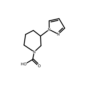 O=C(O)N1CCCC(n2cccn2)C1